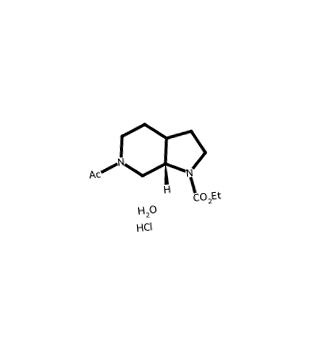 CCOC(=O)N1CCC2CCN(C(C)=O)C[C@H]21.Cl.O